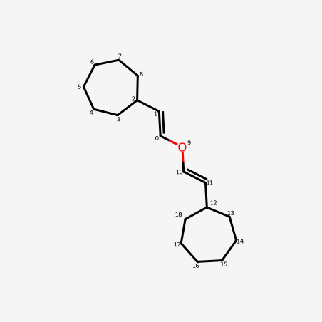 C(=CC1CCCCCC1)OC=CC1CCCCCC1